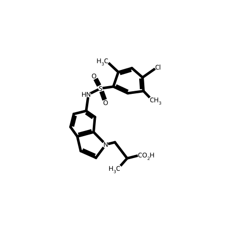 Cc1cc(S(=O)(=O)Nc2ccc3ccn(CC(C)C(=O)O)c3c2)c(C)cc1Cl